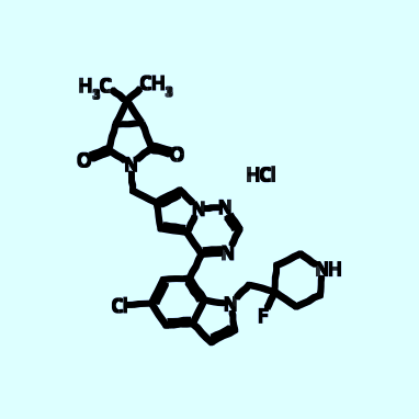 CC1(C)C2C(=O)N(Cc3cc4c(-c5cc(Cl)cc6ccn(CC7(F)CCNCC7)c56)ncnn4c3)C(=O)C21.Cl